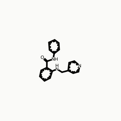 O=C(Nc1ccccc1)c1ccccc1NCc1ccncc1